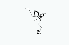 CCCO[Si](C)(C)CCCBr